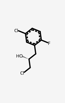 O[C@@H](CCl)Cc1cc(Cl)ccc1F